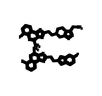 CCc1nnc2n1CCN(CCc1nc3c4cccc(F)c4nc(N)n3n1)C2.Nc1nc2c(F)cccc2c2nc(CCn3cc4ccc(F)cc4c3)nn12